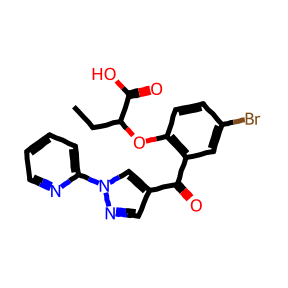 CCC(Oc1ccc(Br)cc1C(=O)c1cnn(-c2ccccn2)c1)C(=O)O